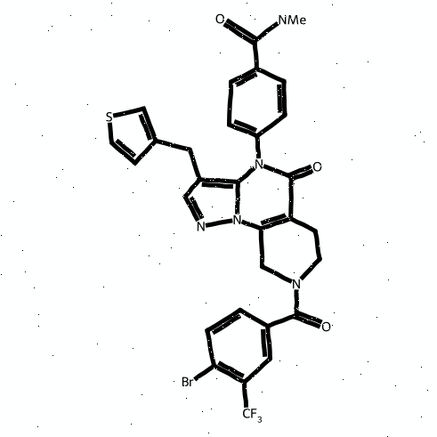 CNC(=O)c1ccc(-n2c(=O)c3c(n4ncc(Cc5ccsc5)c24)CN(C(=O)c2ccc(Br)c(C(F)(F)F)c2)CC3)cc1